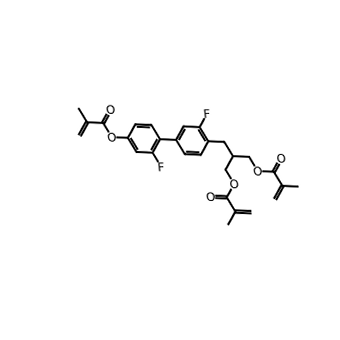 C=C(C)C(=O)OCC(COC(=O)C(=C)C)Cc1ccc(-c2ccc(OC(=O)C(=C)C)cc2F)cc1F